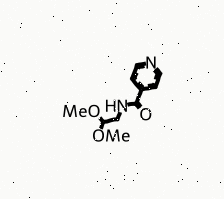 COC(CNC(=O)c1ccncc1)OC